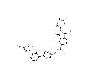 Cn1nc(C(F)(F)F)cc1-c1cccc(-c2ccc(CNC(=O)c3ccc4c(c3)C(=O)N(C3CCC(=O)NC3=O)C4=O)cc2)c1O